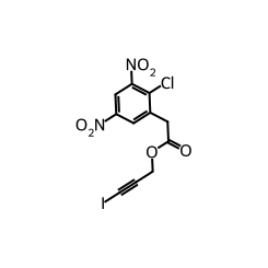 O=C(Cc1cc([N+](=O)[O-])cc([N+](=O)[O-])c1Cl)OCC#CI